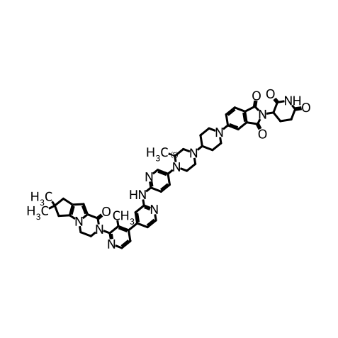 Cc1c(-c2ccnc(Nc3ccc(N4CCN(C5CCN(c6ccc7c(c6)C(=O)N(C6CCC(=O)NC6=O)C7=O)CC5)C[C@@H]4C)cn3)c2)ccnc1N1CCn2c(cc3c2CC(C)(C)C3)C1=O